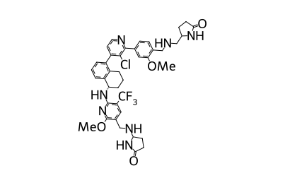 COc1cc(-c2nccc(-c3cccc4c3CCC[C@@H]4Nc3nc(OC)c(CNC4CCC(=O)N4)cc3C(F)(F)F)c2Cl)ccc1CNCC1CCC(=O)N1